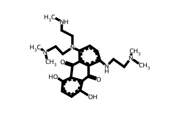 CNCCN(CCN(C)C)c1ccc(NCCN(C)C)c2c1C(=O)c1c(O)ccc(O)c1C2=O